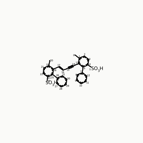 Cc1ccc(S(=O)(=O)O)c(-c2ccccc2)c1C#CC=Cc1c(C)ccc(S(=O)(=O)O)c1-c1ccccc1